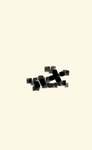 CC(C)C.CCCCC[O].CC[N+](C)(C)C